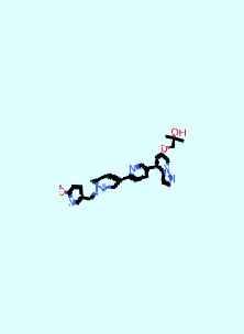 COc1ccc(CN2CC=C(c3ccc(-c4cc(OCC(C)(C)O)cn5nccc45)cn3)C2)cn1